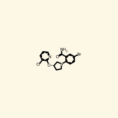 NC(=O)c1cc(Br)ccc1N1CC[C@H](Oc2ncccc2Cl)C1